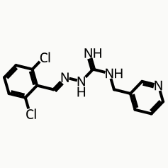 N=C(NCc1cccnc1)N/N=C/c1c(Cl)cccc1Cl